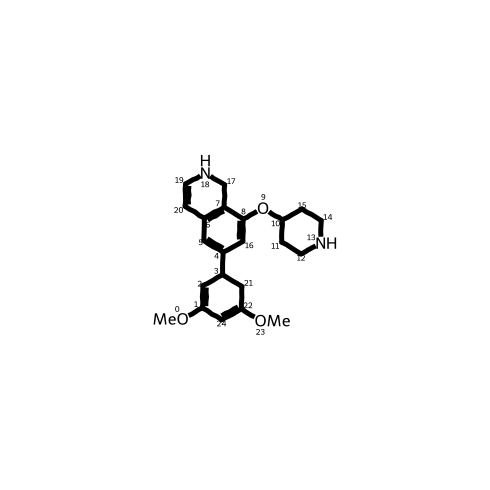 COC1=CC(c2cc3c(c(OC4CCNCC4)c2)CNC=C3)CC(OC)=C1